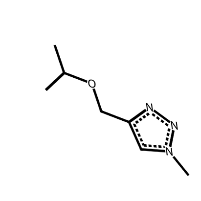 CC(C)OCc1cn(C)nn1